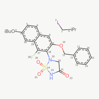 CC(C)CI.CC(C)COc1ccc2cc(OCc3ccccc3)c(N3CC(=O)NS3(=O)=O)c(F)c2c1